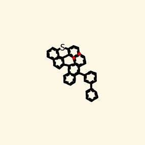 c1ccc(-c2cccc(-c3c4ccccc4c(-c4ccc5cccc6c5c4-c4ccccc4S6)c4ccccc34)c2)cc1